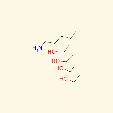 CCCCCN.CCO.CCO.CCO.CCO